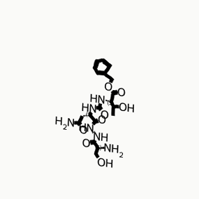 CC(O)[C@H](NC(=O)N[C@@H](CC(N)=O)C(=O)NNC(=O)[C@@H](N)CO)C(=O)OCc1ccccc1